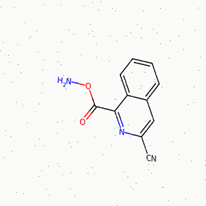 N#Cc1cc2ccccc2c(C(=O)ON)n1